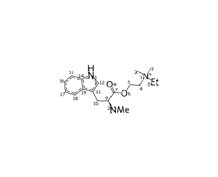 CC[N+](C)(C)CCOC(=O)[C@H](Cc1c[nH]c2ccccc12)NC